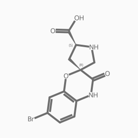 O=C(O)[C@@H]1C[C@]2(CN1)Oc1cc(Br)ccc1NC2=O